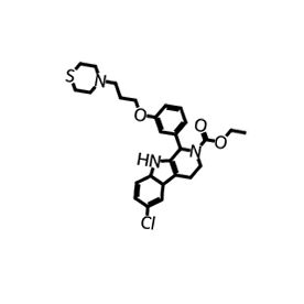 CCOC(=O)N1CCC2=C(NC3C=CC(Cl)=CC23)C1c1cccc(OCCCN2CCSCC2)c1